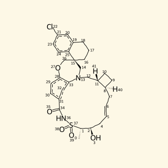 C[C@H]1[C@H](O)C/C=C/C[C@@H]2CC[C@H]2CN2C[C@@]3(CCCc4cc(Cl)ccc43)COc3ccc(cc32)C(=O)NS1(=O)=O